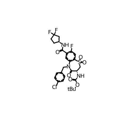 CC(C)(C)OC(=O)N[C@H]1CS(=O)(=O)c2cc(F)c(C(=O)N[C@H]3CCC(F)(F)C3)cc2N(Cc2ccc(Cl)cc2)C1=O